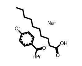 CCCC(=O)c1ccc([O-])cc1.CCCCCCCCCC(=O)O.[Na+]